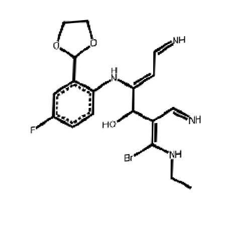 CCN/C(Br)=C(\C=N)C(O)/C(=C/C=N)Nc1ccc(F)cc1C1OCCO1